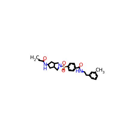 C=CC(=O)NC1CC2CN(S(=O)(=O)c3ccc(C(=O)NCCc4cccc(C)c4)cc3)CC2C1